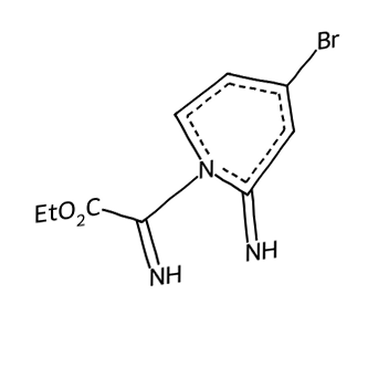 CCOC(=O)C(=N)n1ccc(Br)cc1=N